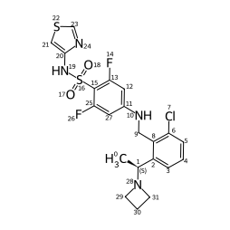 C[C@@H](c1cccc(Cl)c1CNc1cc(F)c(S(=O)(=O)Nc2cscn2)c(F)c1)N1CCC1